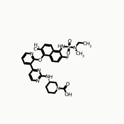 CCN(C)S(=O)(=O)Nc1c(F)ccc2c(Oc3ncccc3-c3ccnc(N[C@H]4CCCN(C(=O)O)C4)n3)c(C)ccc12